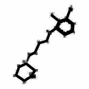 Cc1c(Br)cccc1OCCCC[C@H]1CCCNC1